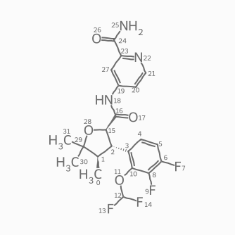 C[C@@H]1[C@@H](c2ccc(F)c(F)c2OC(F)F)[C@H](C(=O)Nc2ccnc(C(N)=O)c2)OC1(C)C